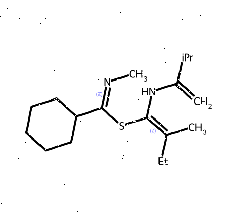 C=C(N/C(S/C(=N\C)C1CCCCC1)=C(\C)CC)C(C)C